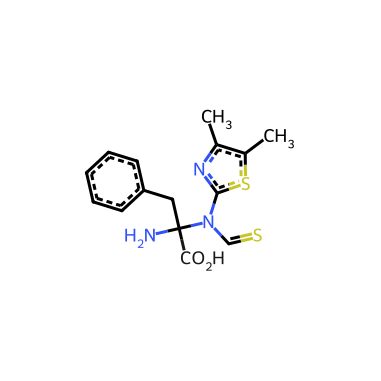 Cc1nc(N(C=S)C(N)(Cc2ccccc2)C(=O)O)sc1C